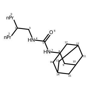 CCCC(CCC)CNC(=O)NC12CC3CC(CC(C3)C1)C2